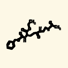 CCOC(=O)C(CCC(=O)NCCSC(C)=O)NC(=O)OCc1ccccc1